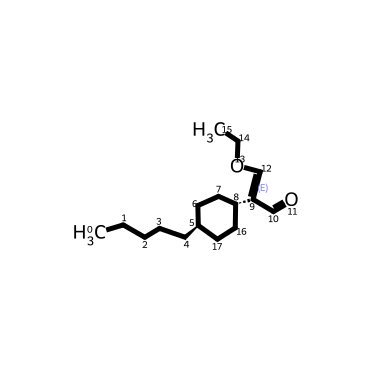 CCCCC[C@H]1CC[C@H](/C(C=O)=C\OCC)CC1